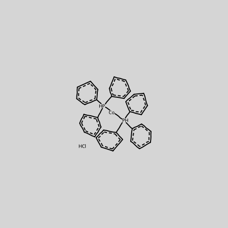 Cl.c1ccc([PH]([Co][PH](c2ccccc2)(c2ccccc2)c2ccccc2)(c2ccccc2)c2ccccc2)cc1